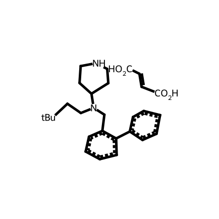 CC(C)(C)CCN(Cc1ccccc1-c1ccccc1)C1CCNCC1.O=C(O)C=CC(=O)O